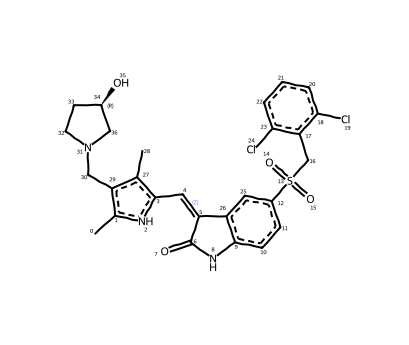 Cc1[nH]c(/C=C2\C(=O)Nc3ccc(S(=O)(=O)Cc4c(Cl)cccc4Cl)cc32)c(C)c1CN1CC[C@@H](O)C1